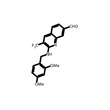 COc1ccc(CNc2nc3cc(C=O)ccc3cc2C(F)(F)F)c(OC)c1